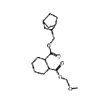 COCOC(=O)C1CCCCC1C(=O)OCC1CC2CCC1C2